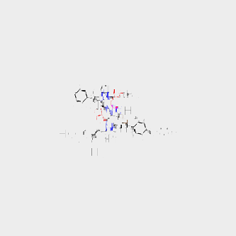 COc1ccc(CSC(C)(C)[C@H](NC(=O)[C@@H](N(C)C(=O)OC(C)(C)C)C(C)(C)c2ccccc2)C(=O)N(C)[C@@H](/C=C(\C)C(=O)O)C(C)C)cc1